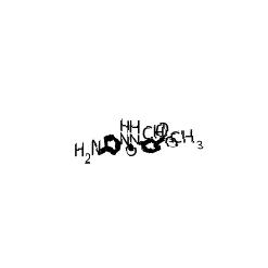 COC(=O)c1cccc(NC(=O)Nc2ccc(CN)cc2)c1C